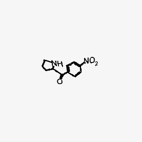 O=C(c1ccc([N+](=O)[O-])cc1)C1CCCN1